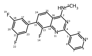 CNc1nc(-c2cccnc2)nc2c(F)c(-c3cc(F)cc(F)c3)ccc12